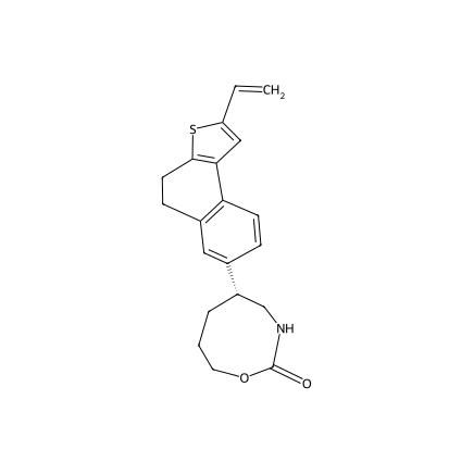 C=Cc1cc2c(s1)CCc1cc([C@H]3CCCOC(=O)NC3)ccc1-2